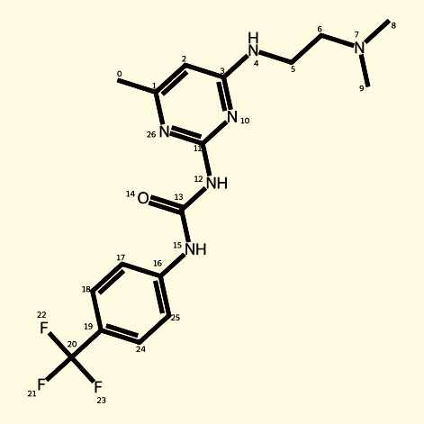 Cc1cc(NCCN(C)C)nc(NC(=O)Nc2ccc(C(F)(F)F)cc2)n1